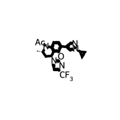 CC(=O)N1c2ccc(-c3cnn(C4CC4)c3)c(Oc3nccc(C(F)(F)F)n3)c2CC[C@@H]1C